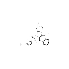 CN1CCN(C2=C(NS(=O)(=O)c3ccc(Br)s3)C(=O)c3ccccc3C2=O)CC1